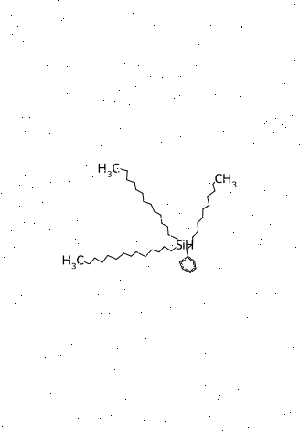 CCCCCCCCCCCCCC[SiH](CCCCCCCCCCCCCC)C(CCCCCCCCCCC)c1ccccc1